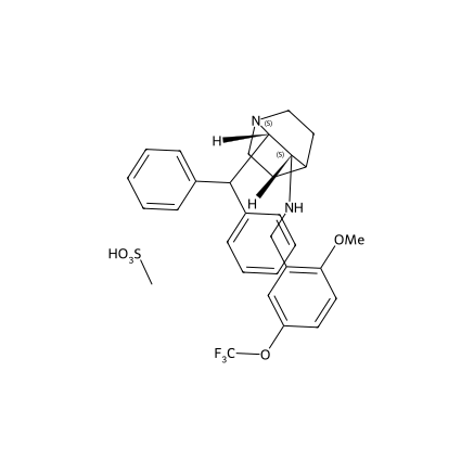 COc1ccc(OC(F)(F)F)cc1CN[C@H]1C2CCN(CC2)[C@H]1C(c1ccccc1)c1ccccc1.CS(=O)(=O)O